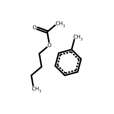 CCCCOC(C)=O.Cc1ccccc1